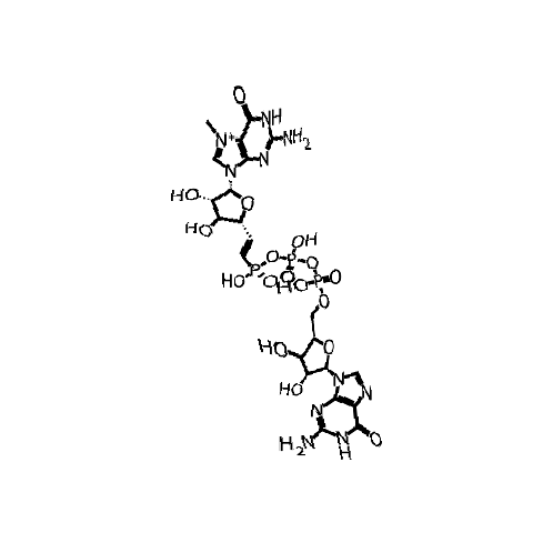 C[n+]1cn([C@@H]2O[C@H](/C=C/P(=O)(O)OP(=O)(O)OP(=O)(O)OC[C@H]3O[C@@H](n4cnc5c(=O)[nH]c(N)nc54)[C@@H](O)C3O)C(O)[C@@H]2O)c2nc(N)[nH]c(=O)c21